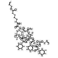 C=CCOC(=O)CCCCCNC(=O)O[C@H]1CC2OC[C@@]2(OC(C)=O)C2[C@H](OC(=O)c3ccccc3)[C@]3(O)C[C@H](OC(=O)[C@H](OC(=O)OCC=C)[C@@H](NC(=O)c4ccccc4)c4ccccc4)C(C)=C(C(OC(C)=O)C(=O)[C@@]21C)C3(C)C